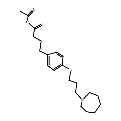 CC(=O)OC(=O)CCCc1ccc(OCCCN2CCCCCC2)cc1